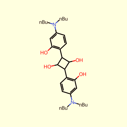 CCCCN(CCCC)c1ccc(C2C(O)C(c3ccc(N(CCCC)CCCC)cc3O)C2O)c(O)c1